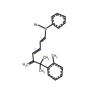 C=C(/C=C/C=C/N(C(C)=O)c1ccccc1)C(C)(C)c1ccccc1C